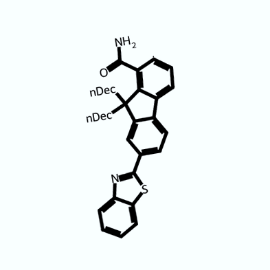 CCCCCCCCCCC1(CCCCCCCCCC)c2cc(-c3nc4ccccc4s3)ccc2-c2cc[c]c(C(N)=O)c21